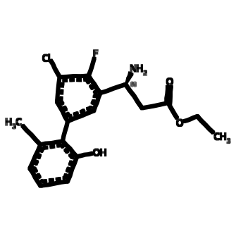 CCOC(=O)C[C@H](N)c1cc(-c2c(C)cccc2O)cc(Cl)c1F